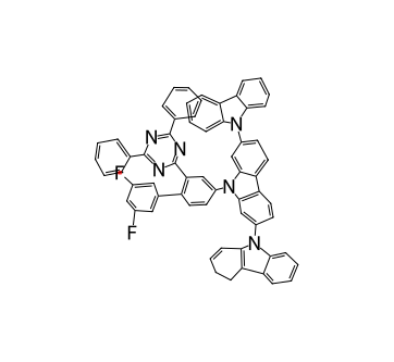 Fc1cc(F)cc(-c2ccc(-n3c4cc(-n5c6c(c7ccccc75)CCC=C6)ccc4c4ccc(-n5c6ccccc6c6ccccc65)cc43)cc2-c2nc(-c3ccccc3)nc(-c3ccccc3)n2)c1